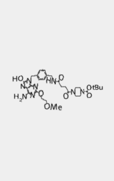 COCCOc1nc(N)c2nc(O)n(Cc3ccc(CNC(=O)CCC(=O)N4CCN(C(=O)OC(C)(C)C)CC4)cc3)c2n1